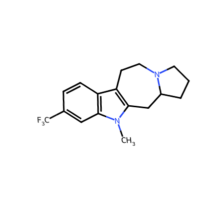 Cn1c2c(c3ccc(C(F)(F)F)cc31)CCN1CCCC1C2